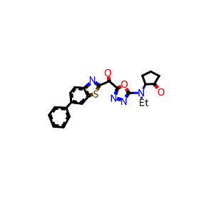 CCN(c1nnc(C(=O)c2nc3ccc(-c4ccccc4)cc3s2)o1)C1CCCC1=O